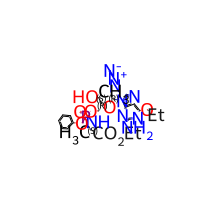 CCOC(=O)[C@H](C)NP(=O)(OC[C@@H](O[C@H](CN=[N+]=[N-])n1cnc2c(OCC)nc(N)nc21)[C@H](C)O)Oc1ccccc1